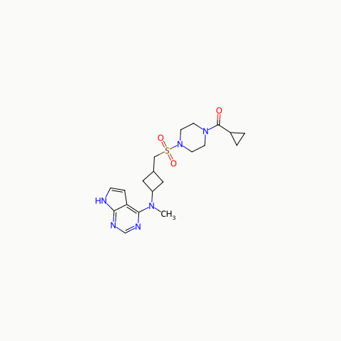 CN(c1ncnc2[nH]ccc12)C1CC(CS(=O)(=O)N2CCN(C(=O)C3CC3)CC2)C1